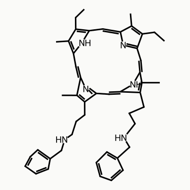 CCC1=C(C)c2cc3[nH]c(cc4nc(cc5[nH]c(cc1n2)c(C)c5CCCNCc1ccccc1)C(CCCNCc1ccccc1)=C4C)c(C)c3CC